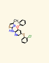 Cc1csc(Nc2ncc(Sc3ccccc3Cl)cc2Oc2ccccc2)n1